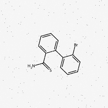 NC(=S)c1ccccc1-c1ccccc1Br